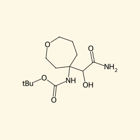 CC(C)(C)OC(=O)NC1(C(O)C(N)=O)CCCOCC1